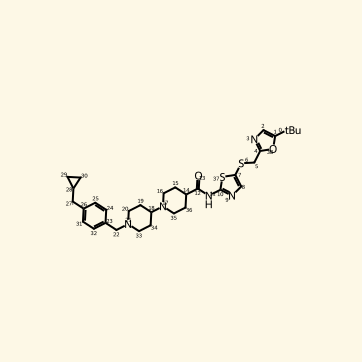 CC(C)(C)c1cnc(CSc2cnc(NC(=O)C3CCN(C4CCN(Cc5ccc([CH]C6CC6)cc5)CC4)CC3)s2)o1